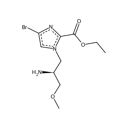 CCOC(=O)c1nc(Br)cn1C[C@H](N)COC